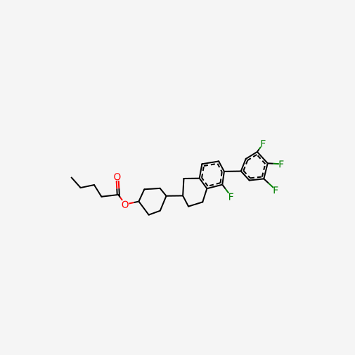 CCCCC(=O)OC1CCC(C2CCc3c(ccc(-c4cc(F)c(F)c(F)c4)c3F)C2)CC1